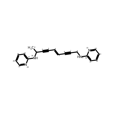 CC(C#CC=CC#CCNc1ccccn1)Nc1ccccn1